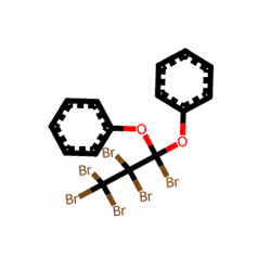 BrC(Br)(Br)C(Br)(Br)C(Br)(Oc1ccccc1)Oc1ccccc1